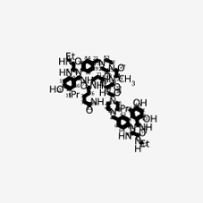 CCNC(=O)C(=N)N(C(=N)c1ccc(O)c(C(C)C)c1)c1ccc(CN2CCN(C(=O)[C@@H](C)NC(=O)[C@H](CC(=O)N3CCN(Cc4ccc(N(C(=N)C(=O)NCC)C(=N)c5cc(C(C)C)c(O)cc5O)cc4)CC3)NC(=O)CCNC(=O)CCCC(N)=O)CC2)cc1